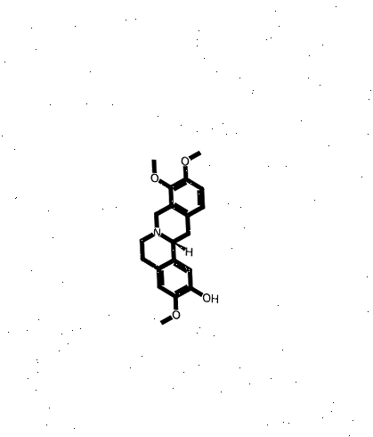 COc1cc2c(cc1O)[C@H]1Cc3ccc(OC)c(OC)c3CN1CC2